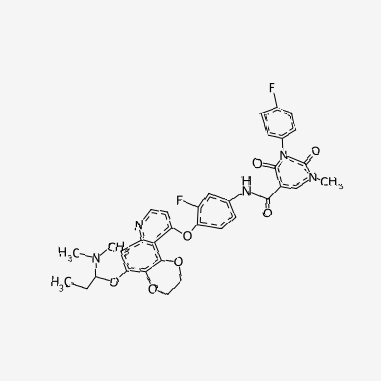 CCC(Oc1cc2nccc(Oc3ccc(NC(=O)c4cn(C)c(=O)n(-c5ccc(F)cc5)c4=O)cc3F)c2c2c1OCCO2)N(C)C